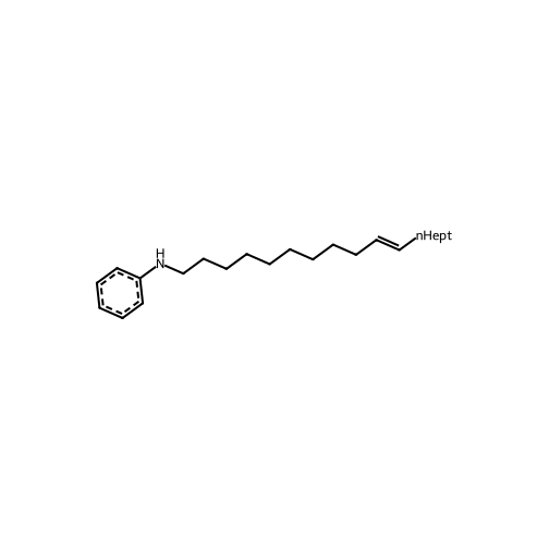 CCCCCCCC=CCCCCCCCCCNc1ccccc1